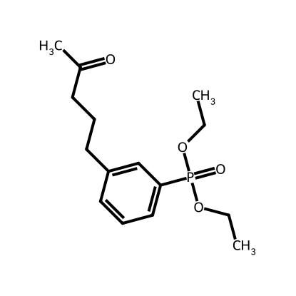 CCOP(=O)(OCC)c1cccc(CCCC(C)=O)c1